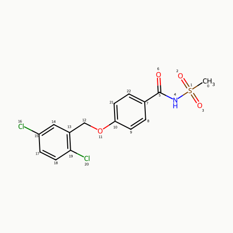 CS(=O)(=O)NC(=O)c1ccc(OCc2cc(Cl)ccc2Cl)cc1